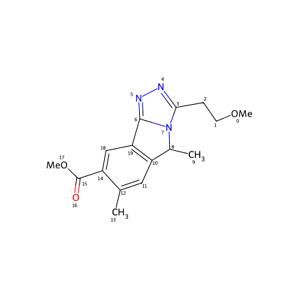 COCCc1nnc2n1C(C)c1cc(C)c(C(=O)OC)cc1-2